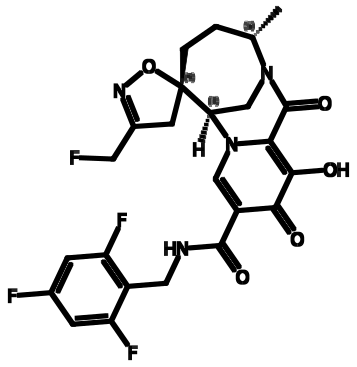 C[C@H]1CC[C@]2(CC(CF)=NO2)[C@H]2CN1C(=O)c1c(O)c(=O)c(C(=O)NCc3c(F)cc(F)cc3F)cn12